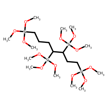 CO[Si](CCCC(C(CC[Si](OC)(OC)OC)[Si](OC)(OC)OC)[Si](OC)(OC)OC)(OC)OC